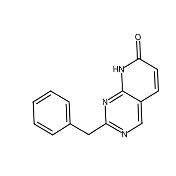 O=c1ccc2cnc(Cc3ccccc3)nc2[nH]1